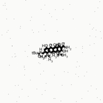 C[C@@H](NCc1cc(O)c2c(c1N(C)C)C[C@H]1C[C@H]3[C@H](N(C)C)C(O)=C(C(N)=O)C(=O)[C@@]3(O)C(O)=C1C2=O)C(C)(C)C